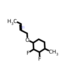 C/C=C/COC1CCC(C)C(F)C1F